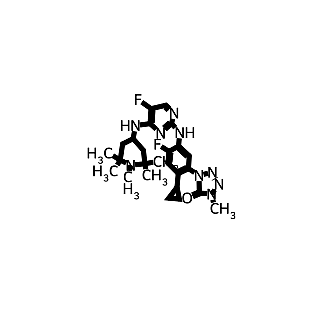 CN1C(C)(C)CC(Nc2nc(Nc3cc(-n4nnn(C)c4=O)c(C4CC4)cc3F)ncc2F)CC1(C)C